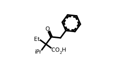 CCC(C(=O)O)(C(=O)Cc1ccccc1)C(C)C